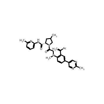 C=C(C(C)=O)c1cc(-c2cnc(C)nc2)ccc1N(C)CC(=O)N1CC(C)C[C@H]1C(=O)Nc1cccc(C)n1